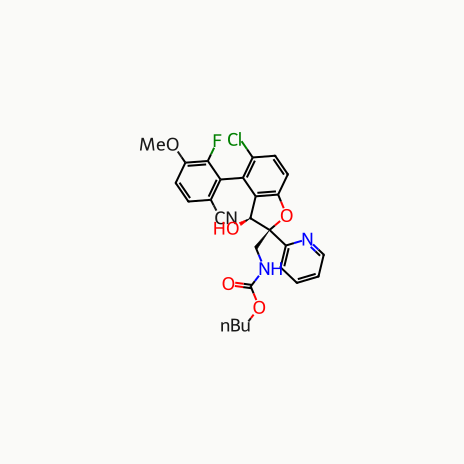 CCCCOC(=O)NC[C@]1(c2ccccn2)Oc2ccc(Cl)c(-c3c(C#N)ccc(OC)c3F)c2[C@@H]1O